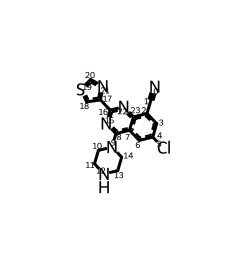 N#Cc1cc(Cl)cc2c(N3CCNCC3)nc(-c3cscn3)nc12